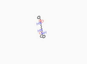 O=C(CNCCCCCNC(=O)OCc1ccccc1)NC1CCCc2ccccc21